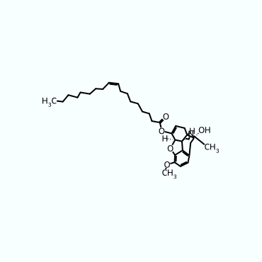 CCCCCCCC/C=C\CCCCCCCC(=O)OC1=CC[C@H]2[C@@]34CCN(C)[C@@]2(O)Cc2ccc(OC)c(c23)O[C@@H]14